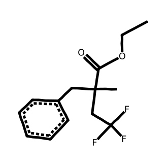 CCOC(=O)C(C)(Cc1ccccc1)CC(F)(F)F